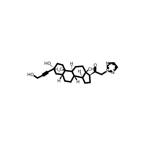 C[C@]12CC[C@](O)(C#CCO)C[C@H]1CC[C@@H]1[C@@H]2CC[C@]2(C)[C@@H](C(=O)Cn3nccn3)CC[C@@H]12